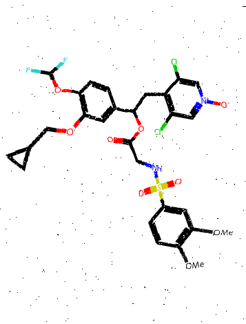 COc1ccc(S(=O)(=O)NCC(=O)OC(Cc2c(Cl)c[n+]([O-])cc2Cl)c2ccc(OC(F)F)c(OCC3CC3)c2)cc1OC